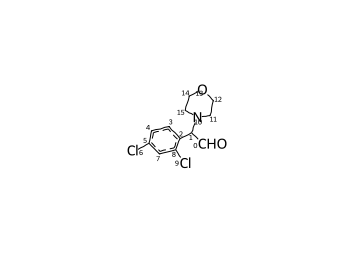 O=CC(c1ccc(Cl)cc1Cl)N1CCOCC1